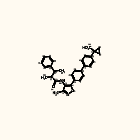 Cc1noc(-c2ccc(-c3ccc(C4(C(=O)O)CC4)cc3)cc2)c1NC(=O)N(C)C(C)c1ccccc1